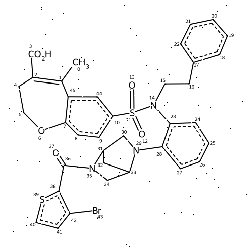 CC1=C(C(=O)O)CCOc2ccc(S(=O)(=O)N(CCc3ccccc3)c3ccccc3N3CC4CC3CN4C(=O)c3sccc3Br)cc21